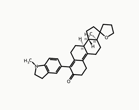 CN1CCc2cc(C3=C4CC[C@@H]5C(=C4CCC3=O)CC[C@@]3(C)[C@H]5CCC34CCCO4)ccc21